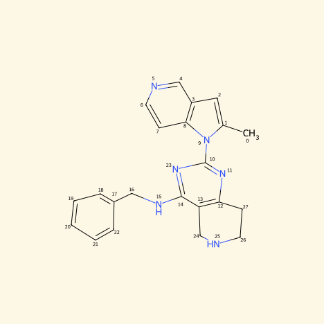 Cc1cc2cnccc2n1-c1nc2c(c(NCc3ccccc3)n1)CNCC2